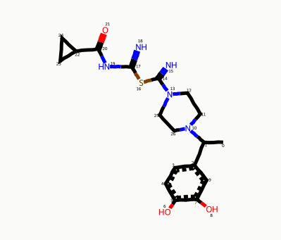 CC(c1ccc(O)c(O)c1)N1CCN(C(=N)SC(=N)NC(=O)C2CC2)CC1